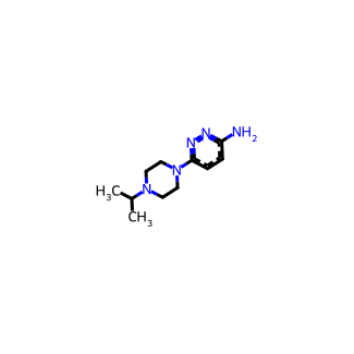 CC(C)N1CCN(c2ccc(N)nn2)CC1